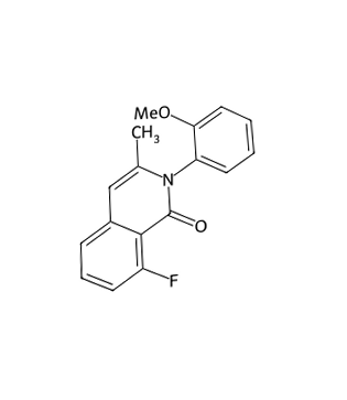 COc1ccccc1-n1c(C)cc2cccc(F)c2c1=O